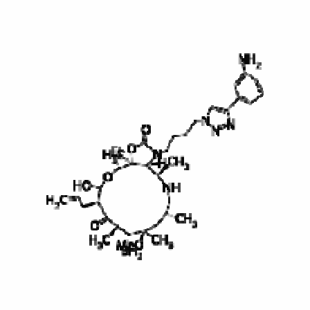 B[C@@H]1[C@@H](C)C(=O)[C@@H](CC=C)C(O)O[C@H](CC)[C@@]2(C)OC(=O)N(CCCCn3cc(-c4cccc(N)c4)nn3)[C@@H]2[C@@H](C)NC[C@H](C)C[C@@]1(C)OC